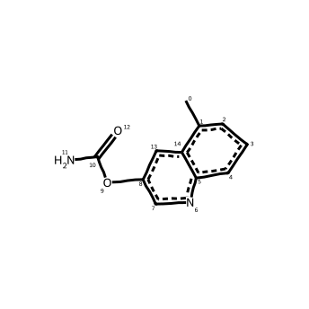 Cc1cccc2ncc(OC(N)=O)cc12